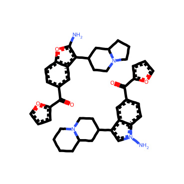 Nc1oc2ccc(C(=O)c3ccco3)cc2c1C1CCN2CCCC2C1.Nn1cc(C2CCN3CCCCC3C2)c2cc(C(=O)c3ccco3)ccc21